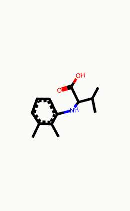 Cc1cccc(NC(C(=O)O)C(C)C)c1C